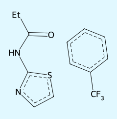 CCC(=O)Nc1nccs1.FC(F)(F)c1ccccc1